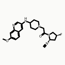 C#[N+][C@@H]1C[C@H](F)CN1C(=O)CN1CCC(Nc2cnc3cc(OC)ccc3c2)CC1